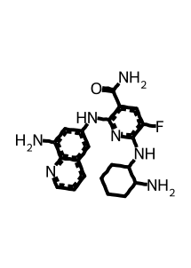 NC(=O)c1cc(F)c(NC2CCCCC2N)nc1Nc1cc(N)c2ncccc2c1